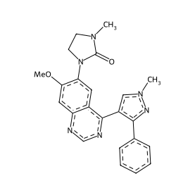 COc1cc2ncnc(-c3cn(C)nc3-c3ccccc3)c2cc1N1CCN(C)C1=O